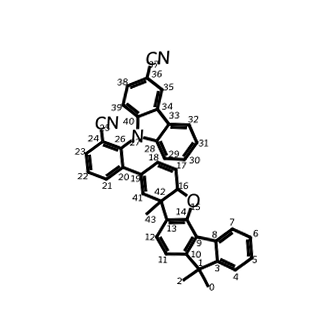 CC1(C)c2ccccc2-c2c1ccc1c2OC2C=CC(c3cccc(C#N)c3-n3c4ccccc4c4cc(C#N)ccc43)=CC12C